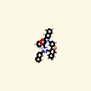 c1ccc(-c2nc(-c3ccc4ccccc4c3)nc(-c3c4ccccc4cc4oc5ccc(-n6c7cc8ccccc8cc7c7cc8ccccc8cc76)cc5c34)n2)cc1